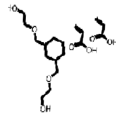 C=CC(=O)O.C=CC(=O)O.OCCOCC1CCCC(COCCO)C1